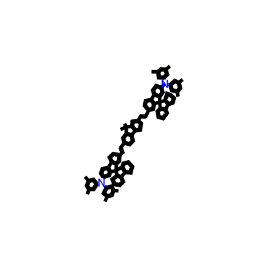 Cc1cc(C)cc(N(c2cc(C)cc(C)c2)c2ccc3c(c2)C2(c4ccccc4-c4ccccc42)c2cc(/C=C/c4ccc5c(c4)C(C)(C)c4cc(/C=C/c6ccc7c(c6)C6(c8ccccc8-c8ccccc86)c6cc(N(c8cc(C)cc(C)c8)c8cc(C)cc(C)c8)ccc6-7)ccc4-5)ccc2-3)c1